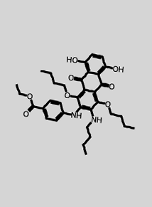 CCCCNc1c(Nc2ccc(C(=O)OCC)cc2)c(OCCCC)c2c(c1OCCCC)C(=O)c1c(O)ccc(O)c1C2=O